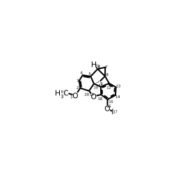 COC1=CC=C2[C@@H]3CC34C[C@@]23c2c4ccc(OI)c2OC13